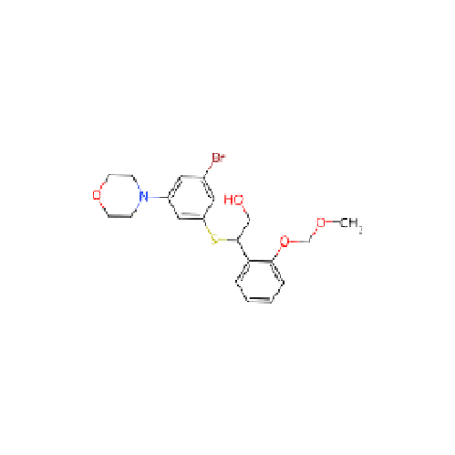 COCOc1ccccc1C(CO)Sc1cc(Br)cc(N2CCOCC2)c1